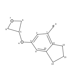 Fc1cc(OC2COC2)cc2c1CCC2